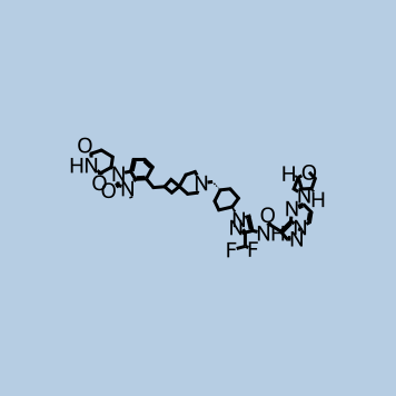 Cn1c(=O)n(C2CCC(=O)NC2=O)c2cccc(CC3CC4(CCN(C[C@H]5CC[C@H](n6cc(NC(=O)c7cnn8ccc(N9C[C@H]%10C[C@@H]9CO%10)nc78)c(C(F)F)n6)CC5)CC4)C3)c21